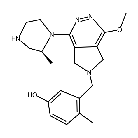 COc1nnc(N2CCNC[C@@H]2C)c2c1CN(Cc1cc(O)ccc1C)C2